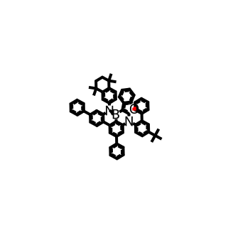 CC(C)(C)c1ccc(N2c3cc(-c4ccccc4)cc4c3B(c3c2oc2ccccc32)N(c2ccc3c(c2)C(C)(C)CCC3(C)C)c2cc(-c3ccccc3)ccc2-4)c(-c2ccccc2)c1